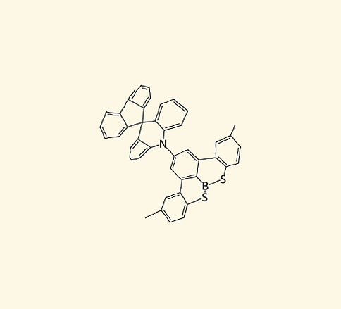 Cc1ccc2c(c1)-c1cc(N3c4ccccc4C4(c5ccccc5-c5ccccc54)c4ccccc43)cc3c1B(S2)Sc1ccc(C)cc1-3